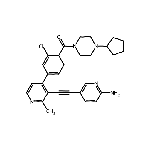 Cc1nccc(C2=CCC(C(=O)N3CCN(C4CCCC4)CC3)C(Cl)=C2)c1C#Cc1ccc(N)nc1